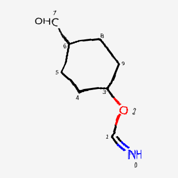 N=COC1CCC(C=O)CC1